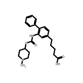 CN1CCC(OC(=O)Nc2cc(CCCCC(=O)O)ccc2-c2ccccc2)CC1